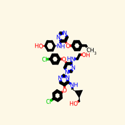 CCc1ccc(Oc2cncnc2N[C@H]2CC[C@H](O)CC2)cc1.OCCNc1ncncc1Oc1ccc(Cl)cc1.OC[C@@H]1C[C@H]1CNc1ncncc1Oc1ccc(Cl)cc1